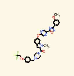 COc1cccc(-c2noc(-c3cnc(Oc4ccc5cc(C(=O)N6CCN(Cc7ccc(OCC(F)(F)F)cc7)CC6)n(C)c5c4)cn3)n2)c1